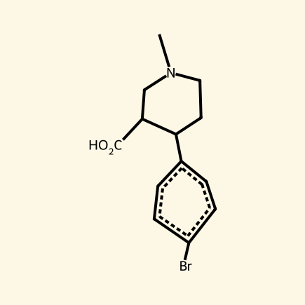 CN1CCC(c2ccc(Br)cc2)C(C(=O)O)C1